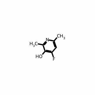 Cc1cc(F)c(O)c(C)n1